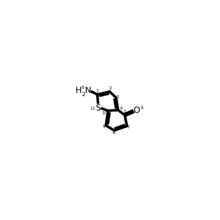 Nc1ccc2c(=O)cccc-2s1